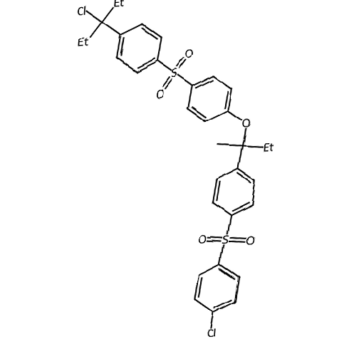 CCC(Cl)(CC)c1ccc(S(=O)(=O)c2ccc(OC(C)(CC)c3ccc(S(=O)(=O)c4ccc(Cl)cc4)cc3)cc2)cc1